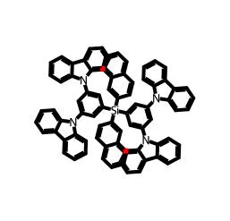 c1ccc2cc([Si](c3cc(-n4c5ccccc5c5ccccc54)cc(-n4c5ccccc5c5ccccc54)c3)(c3cc(-n4c5ccccc5c5ccccc54)cc(-n4c5ccccc5c5ccccc54)c3)c3ccc4ccccc4c3)ccc2c1